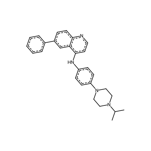 CC(C)N1CCN(c2ccc(Nc3ccnc4ccc(-c5ccccc5)cc34)cc2)CC1